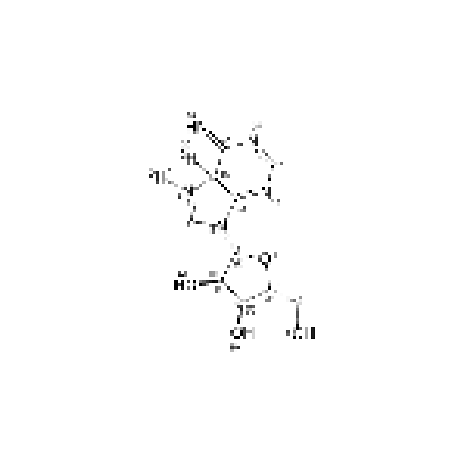 [2H][N+]1=CN([C@@H]2O[C@H](CO)[C@@H](O)[C@H]2O)C2=NC=NC(=N)C21[2H]